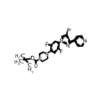 CC(C)(C)OC(=O)N1CCN(c2cc(F)c(-n3cc(Br)c(-c4ccncc4)n3)cc2F)CC1